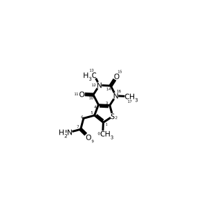 Cc1sc2c(c1CC(N)=O)c(=O)n(C)c(=O)n2C